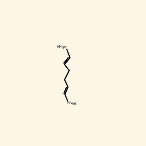 [CH2]CCCCCCC=CCCC=CCCCCC